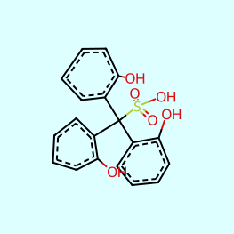 O=S(=O)(O)C(c1ccccc1O)(c1ccccc1O)c1ccccc1O